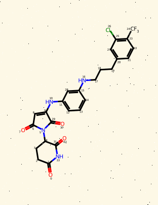 O=C1CCC(N2C(=O)C=C(Nc3cccc(NCCCc4ccc(C(F)(F)F)c(Cl)c4)c3)C2=O)C(=O)N1